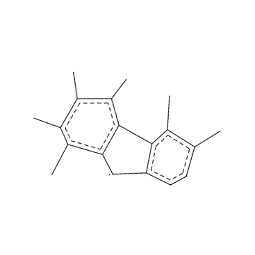 Cc1ccc2c(c1C)-c1c(C)c(C)c(C)c(C)c1[CH]2